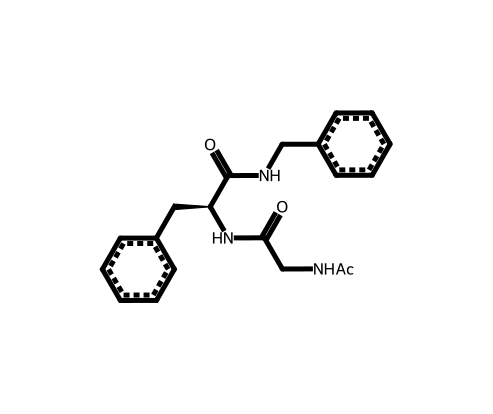 CC(=O)NCC(=O)N[C@@H](Cc1ccccc1)C(=O)NCc1ccccc1